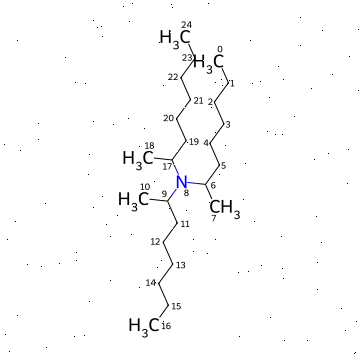 CCCCCCC(C)N(C(C)CCCCCC)C(C)CCCCCC